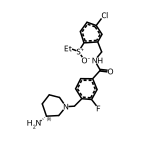 CC[S+]([O-])c1ccc(Cl)cc1CNC(=O)c1ccc(CN2CCC[C@@H](N)C2)c(F)c1